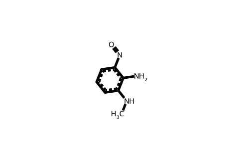 CNc1cccc(N=O)c1N